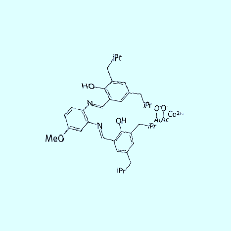 CC(=O)[O-].CC(=O)[O-].COc1ccc(N=Cc2cc(CC(C)C)cc(CC(C)C)c2O)c(N=Cc2cc(CC(C)C)cc(CC(C)C)c2O)c1.[Co+2]